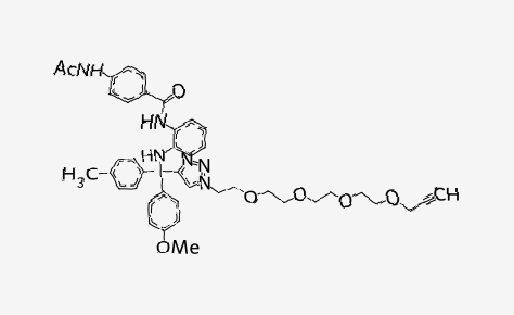 C#CCOCCOCCOCCOCCn1cc(C(Nc2ccccc2NC(=O)c2ccc(NC(C)=O)cc2)(c2ccc(C)cc2)c2ccc(OC)cc2)nn1